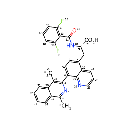 Cc1nc(-c2ccc(C[C@H](NC(=O)c3c(F)cccc3F)C(=O)O)c3cccnc23)c(C(F)(F)F)c2ccccc12